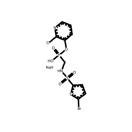 O=P(O)(CNS(=O)(=O)c1ccc(Br)s1)Oc1cccnc1Cl.[NaH]